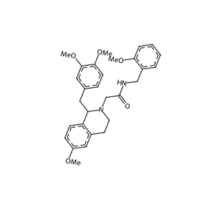 COc1ccc2c(c1)CCN(CC(=O)NCc1ccccc1OC)C2Cc1ccc(OC)c(OC)c1